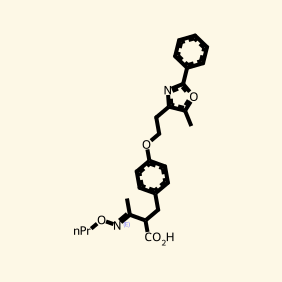 CCCO/N=C(\C)C(Cc1ccc(OCCc2nc(-c3ccccc3)oc2C)cc1)C(=O)O